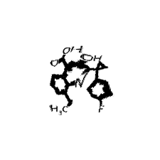 CCc1cccc2c(C(=O)O)c(O)c(C3(c4ccc(F)cc4)CC3)nc12